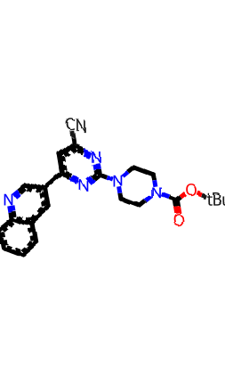 CC(C)(C)OC(=O)N1CCN(c2nc(C#N)cc(-c3cnc4ccccc4c3)n2)CC1